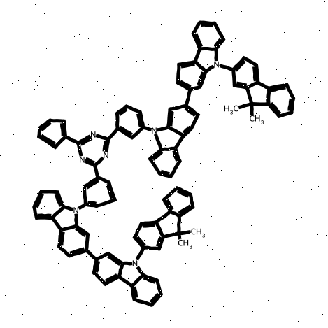 CC1(C)c2ccccc2-c2ccc(-n3c4ccccc4c4ccc(-c5ccc6c7ccccc7n(-c7cccc(-c8nc(-c9ccccc9)nc(-c9cccc(-n%10c%11ccccc%11c%11ccc(-c%12ccc%13c%14ccccc%14n(-c%14ccc%15c(c%14)C(C)(C)c%14ccccc%14-%15)c%13c%12)cc%11%10)c9)n8)c7)c6c5)cc43)cc21